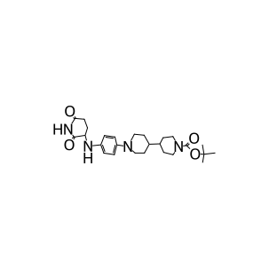 CC(C)(C)OC(=O)N1CCC(C2CCN(c3ccc(NC4CCC(=O)NC4=O)cc3)CC2)CC1